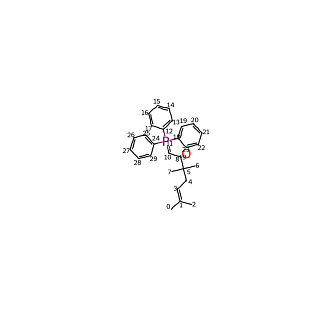 CC(C)=CCC(C)(C)C(=O)C=P(c1ccccc1)(c1ccccc1)c1ccccc1